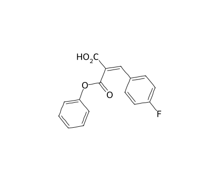 O=C(O)/C(=C/c1ccc(F)cc1)C(=O)Oc1ccccc1